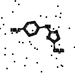 CCOC(=O)c1csc(Nc2ccc(C(=O)O)cc2)n1